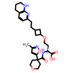 Cc1cc(C2(C(=O)N[C@@H](CCOC3CC(CCc4ccc5c(n4)NCCC5)C3)C(=O)O)CCOCC2)on1